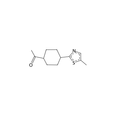 CC(=O)C1CCC(c2ncc(C)s2)CC1